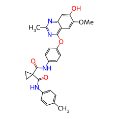 COc1cc2c(Oc3ccc(NC(=O)C4(C(=O)Nc5ccc(C)cc5)CC4)cc3)nc(C)nc2cc1O